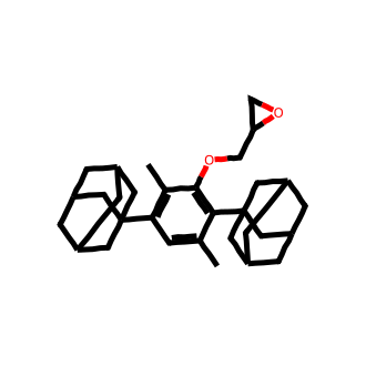 Cc1cc(C23CC4CC(CC(C4)C2)C3)c(C)c(OCC2CO2)c1C12CC3CC(CC(C3)C1)C2